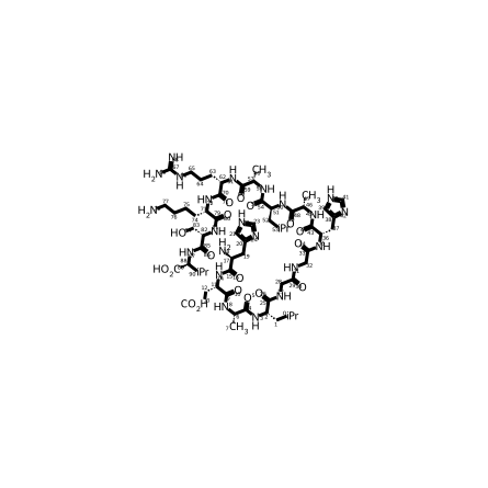 CC(C)C[C@H](NC(=O)[C@H](C)NC(=O)[C@H](CC(=O)O)NC(=O)[C@@H](N)Cc1c[nH]cn1)C(=O)NCC(=O)NCC(=O)N[C@@H](Cc1c[nH]cn1)C(=O)N[C@@H](C)C(=O)N[C@@H](CC(C)C)C(=O)N[C@@H](C)C(=O)N[C@@H](CCCNC(=N)N)C(=O)N[C@@H](CCCCN)C(=O)N[C@@H](CO)C(=O)N[C@H](C(=O)O)C(C)C